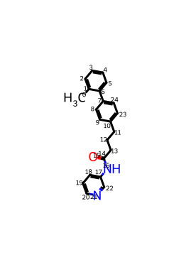 Cc1ccccc1-c1ccc(CCCC(=O)Nc2cccnc2)cc1